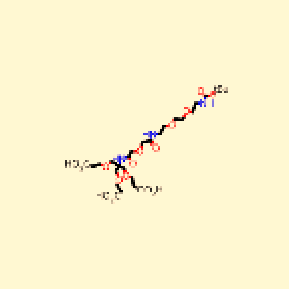 CC(C)(C)OC(=O)NCCOCCOCCNC(=O)COCC(=O)NC(COCCC(=O)O)(COCCC(=O)O)COCCC(=O)O